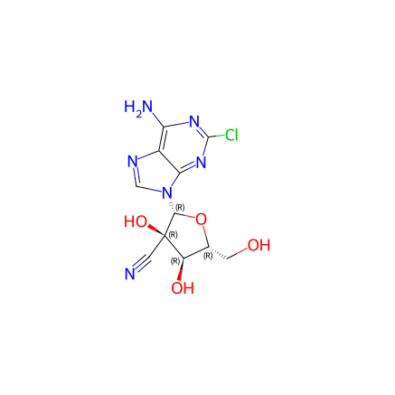 N#C[C@@]1(O)[C@H](O)[C@@H](CO)O[C@H]1n1cnc2c(N)nc(Cl)nc21